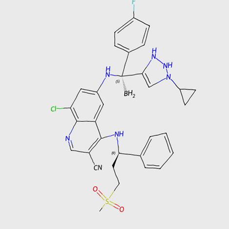 B[C@@](Nc1cc(Cl)c2ncc(C#N)c(N[C@H](CCS(C)(=O)=O)c3ccccc3)c2c1)(C1=CN(C2CC2)NN1)c1ccc(F)cc1